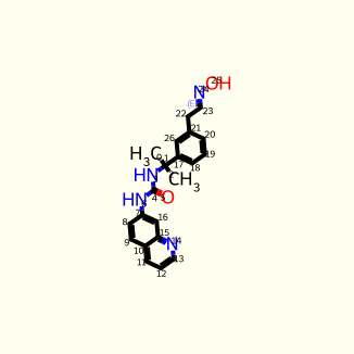 CC(C)(NC(=O)Nc1ccc2cccnc2c1)c1cccc(C/C=N/O)c1